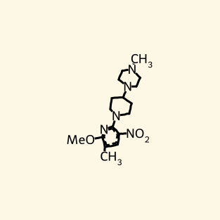 COc1nc(N2CCC(N3CCN(C)CC3)CC2)c([N+](=O)[O-])cc1C